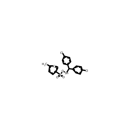 Cc1ccc(S(=O)(=O)[O][Sn][CH](c2ccc(Cl)cc2)c2ccc(Cl)cc2)cc1